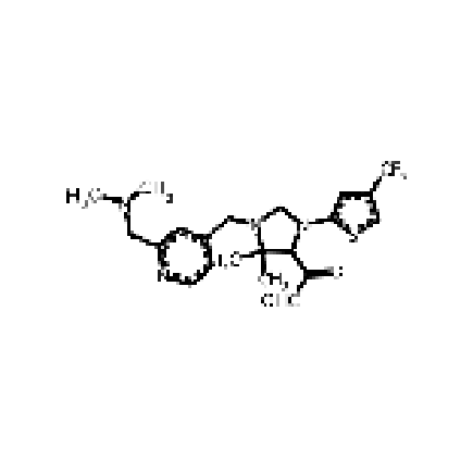 CN(C)Cc1cc(CN2CN(c3cc(C(F)(F)F)cs3)C(C(=O)C=O)C2(C)C)ccn1